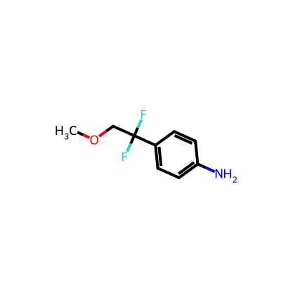 COCC(F)(F)c1ccc(N)cc1